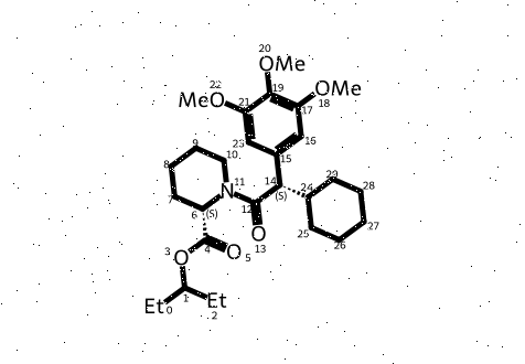 CCC(CC)OC(=O)[C@@H]1CCCCN1C(=O)[C@H](c1cc(OC)c(OC)c(OC)c1)C1CCCCC1